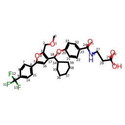 COCc1oc(-c2ccc(C(F)(F)F)cc2)cc1C(Oc1ccc(C(=O)NCCC(=O)O)cc1)C1CCCCC1